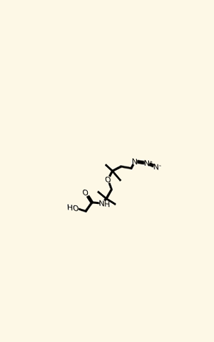 CC(C)(COC(C)(C)CCN=[N+]=[N-])NC(=O)CO